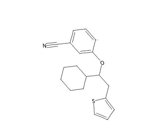 N#Cc1cc[c]c(OC(Cc2cccs2)C2CCCCC2)c1